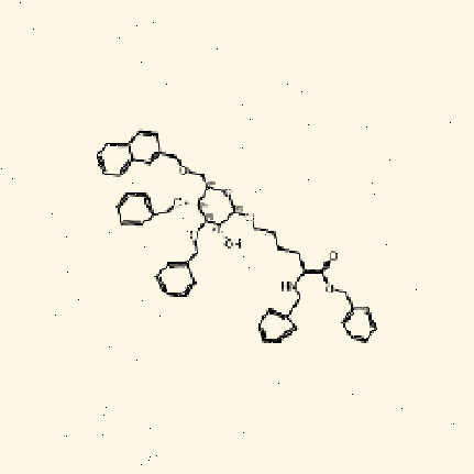 O=C(OCc1ccccc1)C(CCCCO[C@@H]1O[C@H](COCc2ccc3ccccc3c2)[C@@H](OCc2ccccc2)[C@H](OCc2ccccc2)[C@H]1O)NCc1ccccc1